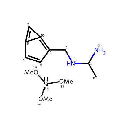 CC(N)NCc1ccc2cc1-2.CO[SiH](OC)OC